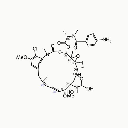 COc1cc2cc(c1Cl)N(C)C(=O)C[C@H](OC(=O)[C@H](C)N(C)C(=O)c1ccc(N)cc1)[C@]1(C)O[C@H]1[C@H](C)[C@@H]1C[C@@](O)(NC(O)O1)[C@H](OC)/C=C/C=C(\C)C2